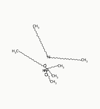 CCCCCCCCCCCCCCCCCCCCCCC[CH2][Ni][CH2]CCCCCCCCCCCCCCCCCCCCCCC.CCCCCCCCCCCCCCCCCCCCCc1cccc(C2=C(CCCCCCCC)C(CCCCC)=C(c3cccc(CCCCC)c3)[N+]2=[N-])c1